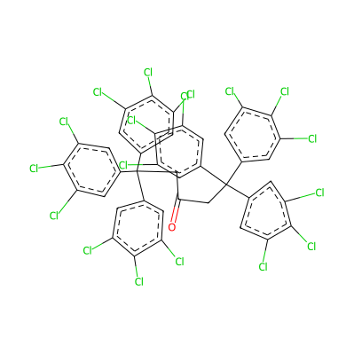 O=C(CC(c1cc(Cl)c(Cl)c(Cl)c1)(c1cc(Cl)c(Cl)c(Cl)c1)c1cc(Cl)c(Cl)c(Cl)c1)CC(c1cc(Cl)c(Cl)c(Cl)c1)(c1cc(Cl)c(Cl)c(Cl)c1)c1cc(Cl)c(Cl)c(Cl)c1